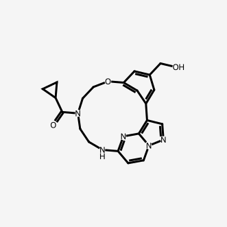 O=C(C1CC1)N1CCNc2ccn3ncc(c3n2)-c2cc(CO)cc(c2)OCC1